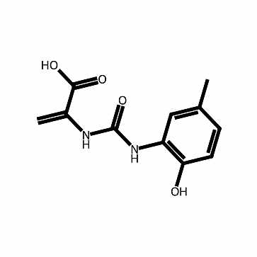 C=C(NC(=O)Nc1cc(C)ccc1O)C(=O)O